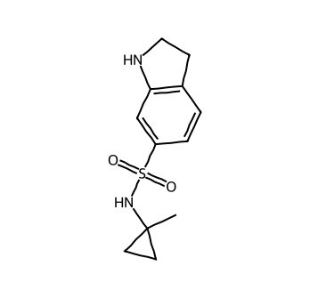 CC1(NS(=O)(=O)c2ccc3c(c2)NCC3)CC1